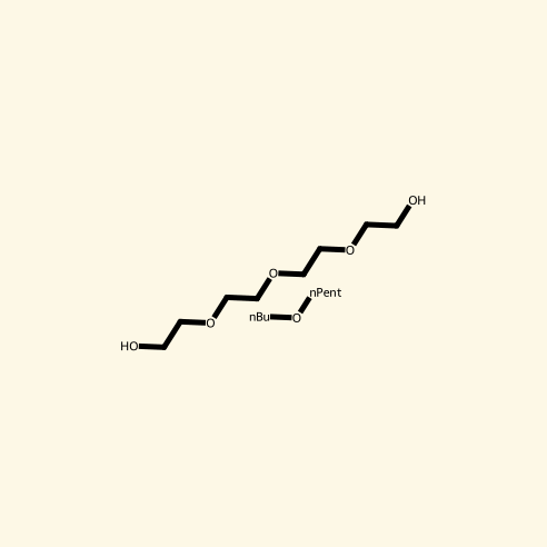 CCCCCOCCCC.OCCOCCOCCOCCO